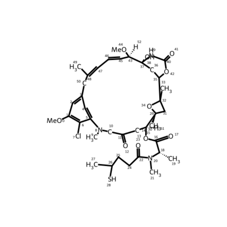 COc1cc2cc(c1Cl)N(C)CC(=O)C[C@H](OC(=O)[C@H](C)N(C)C(=O)CCC(C)S)[C@@]1(C)CC(C)(O1)C1C[C@@](O)(NC(=O)O1)[C@H](OC)/C=C/C=C(\C)C2